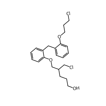 OCCCC(CCl)COc1ccccc1Cc1ccccc1OCCCCl